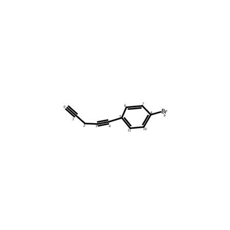 C#CCC#Cc1ccc(Br)cc1